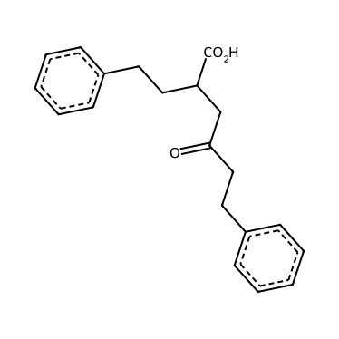 O=C(CCc1ccccc1)CC(CCc1ccccc1)C(=O)O